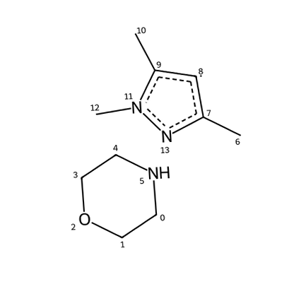 C1COCCN1.Cc1[c]c(C)n(C)n1